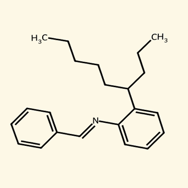 CCCCCC(CCC)c1ccccc1N=Cc1ccccc1